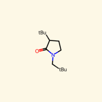 CC(C)(C)CN1CCC(C(C)(C)C)C1=O